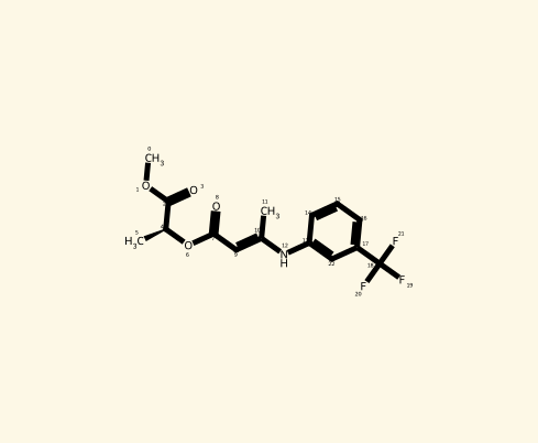 COC(=O)[C@H](C)OC(=O)/C=C(\C)Nc1cccc(C(F)(F)F)c1